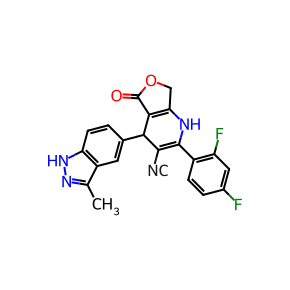 [C-]#[N+]C1=C(c2ccc(F)cc2F)NC2=C(C(=O)OC2)C1c1ccc2[nH]nc(C)c2c1